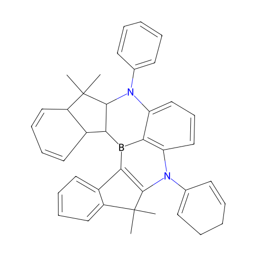 CC1(C)C2=C(B3c4c(cccc4N(c4ccccc4)C4C3C3C=CC=CC3C4(C)C)N2C2=CCCC=C2)c2ccccc21